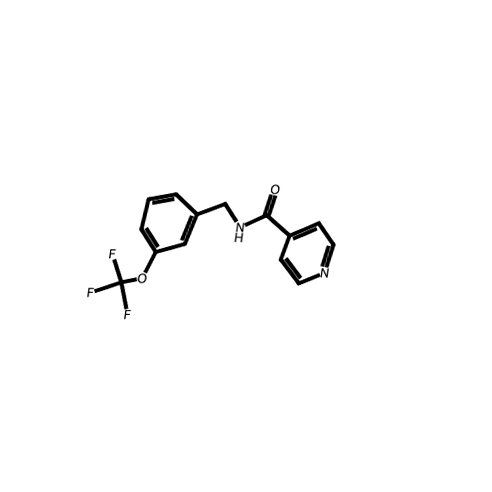 O=C(NCc1cccc(OC(F)(F)F)c1)c1ccncc1